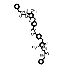 Cc1cc(Cc2ccc(C(=O)OC(=O)c3ccc(Cc4cc(C)c5oc(C(=O)NCc6ccccc6)nn5c4=O)cc3)cc2)c(=O)n2nc(C(=O)NCc3ccccc3)[nH]c12